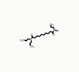 C=CCN(CC)C(=O)CCCCCCCCC(=O)N(CC=C)CC=C